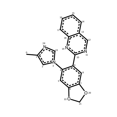 Cc1cn(-c2cc3c(cc2-c2ncc4ccccc4n2)OCO3)cn1